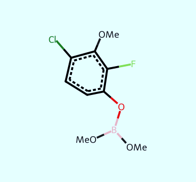 COB(OC)Oc1ccc(Cl)c(OC)c1F